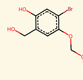 COCOc1cc(CO)c(O)cc1Br